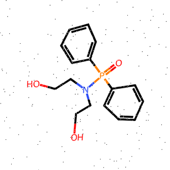 O=P(c1ccccc1)(c1ccccc1)N(CCO)CCO